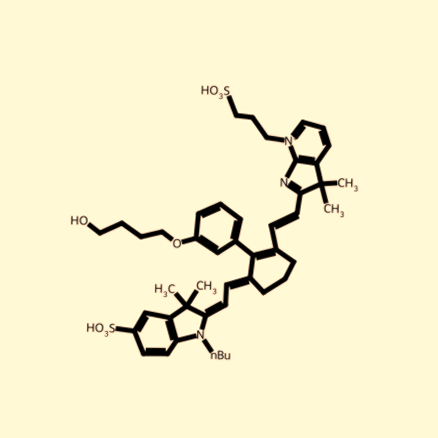 CCCCN1/C(=C/C=C2\CCCC(/C=C/C3=Nc4c(ccc[n+]4CCCS(=O)(=O)O)C3(C)C)=C2c2cccc(OCCCCO)c2)C(C)(C)c2cc(S(=O)(=O)O)ccc21